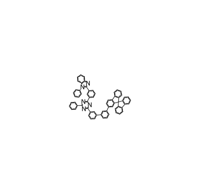 c1ccc(-c2nc(-c3cccc(-c4cccc(-c5ccc6c(c5)C5(c7ccccc7-c7ccccc75)c5ccccc5-6)c4)c3)nc(-c3cccc(-c4nc5ccccc5n4-c4ccccc4)c3)n2)cc1